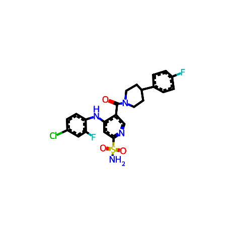 NS(=O)(=O)c1cc(Nc2ccc(Cl)cc2F)c(C(=O)N2CCC(c3ccc(F)cc3)CC2)cn1